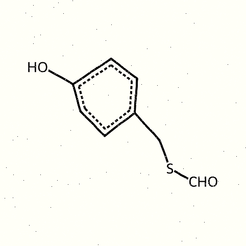 O=CSCc1ccc(O)cc1